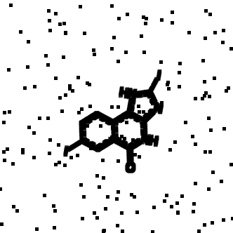 O=c1[nH]c2nc(I)[nH]c2c2ccc(I)cc12